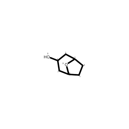 OC1CC2CCC(C1)O2